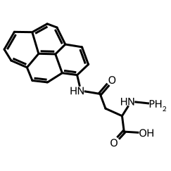 O=C(CC(NP)C(=O)O)Nc1ccc2ccc3cccc4ccc1c2c34